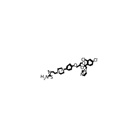 CN(CCN1CCN(c2ccc(OCC3COC(Cn4ccnc4)(c4ccc(Cl)cc4Cl)O3)cc2)CC1)C(N)=S